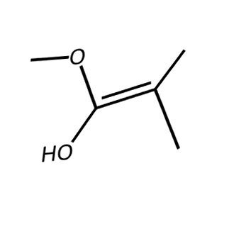 COC(O)=C(C)C